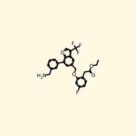 CCOC(=O)Cc1ccc(F)cc1OCc1cc(-c2cccc(CN)c2)c2occ(C(F)(F)F)c2c1